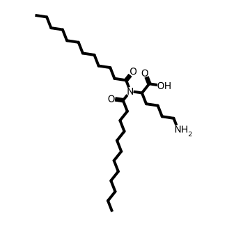 CCCCCCCCCCCC(=O)N(C(=O)CCCCCCCCCCC)C(CCCCN)C(=O)O